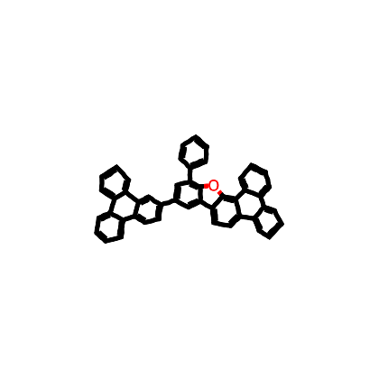 c1ccc(-c2cc(-c3ccc4c5ccccc5c5ccccc5c4c3)cc3c2oc2c3ccc3c4ccccc4c4ccccc4c32)cc1